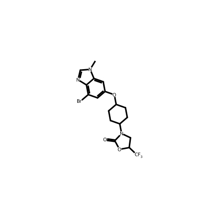 Cn1cnc2c(Br)cc(OC3CCC(N4CC(C(F)(F)F)OC4=O)CC3)cc21